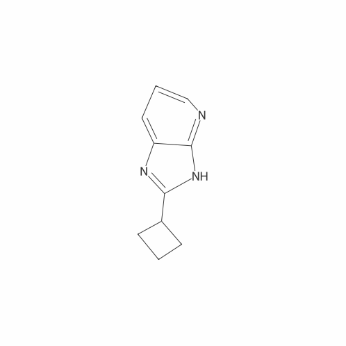 c1cnc2[nH]c(C3CCC3)nc2c1